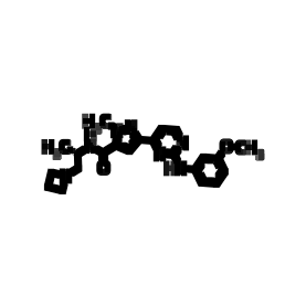 COc1cccc(Nc2nccc(-c3cc(C(=O)N[C@@H](C)CN4CCC4)n(C)n3)n2)c1